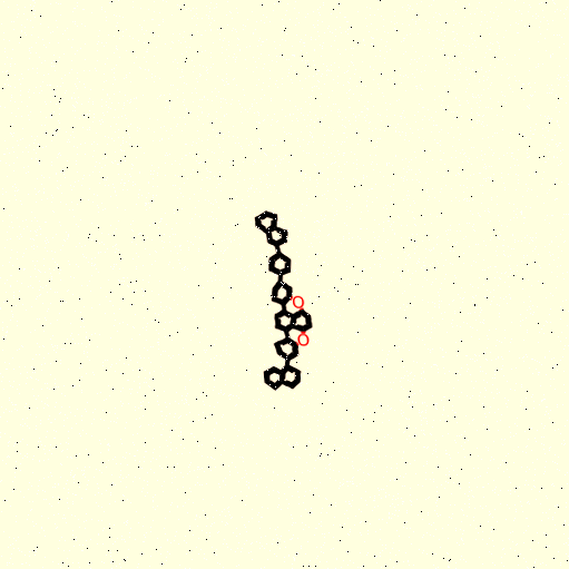 c1ccc2cc(-c3ccc(-c4ccc5c(c4)Oc4ccc6c7c(ccc-5c47)-c4ccc(-c5cccc7ccccc57)cc4O6)cc3)ccc2c1